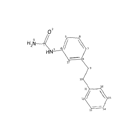 NC(=O)Nc1cccc(CCc2ccccc2)c1